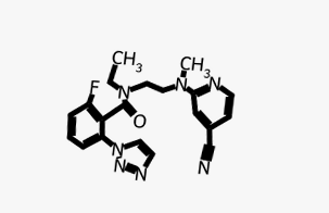 CCN(CCN(C)c1cc(C#N)ccn1)C(=O)c1c(F)cccc1-n1ccnn1